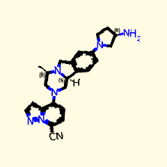 C[C@@H]1CN(c2ccc(C#N)n3nccc23)C[C@@H]2c3ccc(N4CC[C@@H](N)C4)cc3CN12